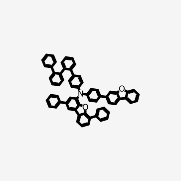 c1ccc(-c2cc(N(c3ccc(-c4ccc5c(c4)oc4ccccc45)cc3)c3ccc(-c4ccccc4-c4ccccc4-c4ccccc4)cc3)c3oc4c(-c5ccccc5)cccc4c3c2)cc1